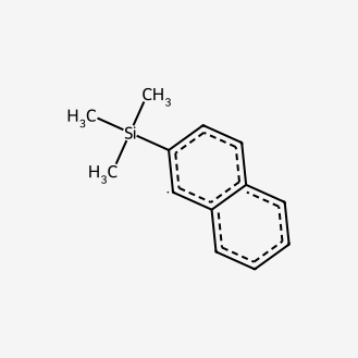 C[Si](C)(C)c1[c]c2ccccc2cc1